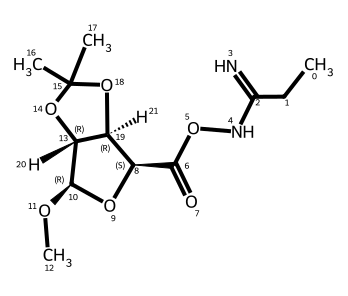 CCC(=N)NOC(=O)[C@H]1O[C@@H](OC)[C@@H]2OC(C)(C)O[C@H]21